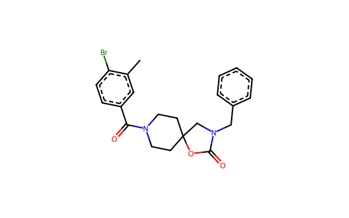 Cc1cc(C(=O)N2CCC3(CC2)CN(Cc2ccccc2)C(=O)O3)ccc1Br